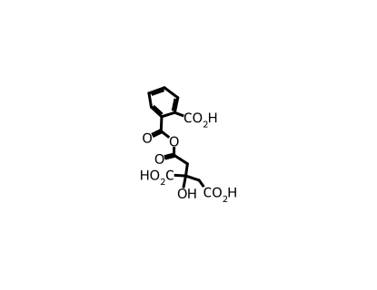 O=C(O)CC(O)(CC(=O)OC(=O)c1ccccc1C(=O)O)C(=O)O